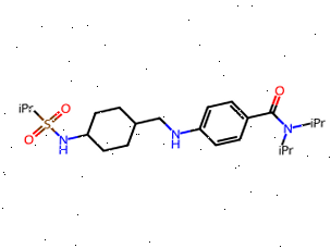 CC(C)N(C(=O)c1ccc(NCC2CCC(NS(=O)(=O)C(C)C)CC2)cc1)C(C)C